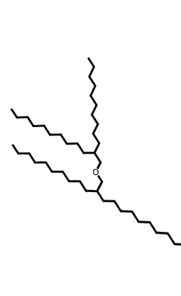 CCCCCCCCCCC(CCCCCCCCCC)COCC(CCCCCCCCCC)CCCCCCCCCC